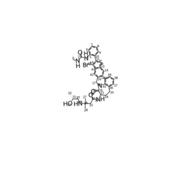 CNC(=O)Nc1ccccc1-c1sc2ccc(CN3C(=O)[C@H](NC(=O)CC(C)(C)NC[C@@H](C)O)CCc4ccccc43)cc2c1Br